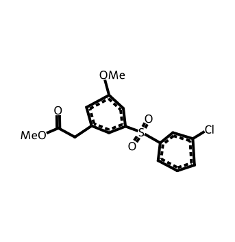 COC(=O)Cc1cc(OC)cc(S(=O)(=O)c2cccc(Cl)c2)c1